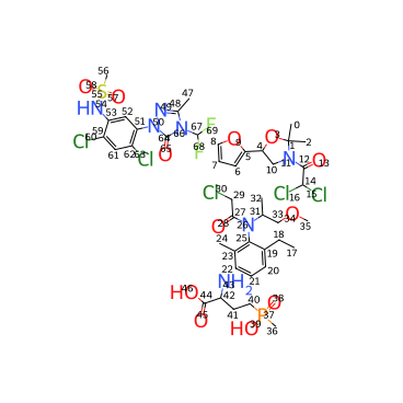 CC1(C)OC(c2ccco2)CN1C(=O)C(Cl)Cl.CCc1cccc(C)c1N(C(=O)CCl)C(C)COC.CP(=O)(O)CCC(N)C(=O)O.Cc1nn(-c2cc(NS(C)(=O)=O)c(Cl)cc2Cl)c(=O)n1C(F)F